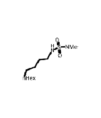 CCCCCCCCCCNS(=O)(=O)[N]C